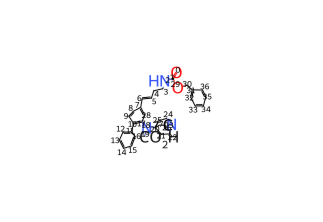 O=C(NCCC=Cc1ccc(-c2ccccc2)c(N(C(=O)O)C23CCN(CC2)CC3)c1)OCc1ccccc1